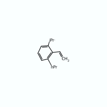 C=Cc1c(CCC)cccc1[C](C)C